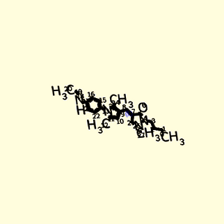 CCCCN1C(=O)/C(=C/c2cc(C)n(-c3ccc(NCC)cc3)c2C)CN1C